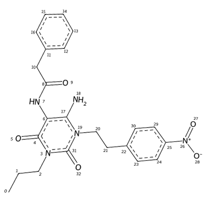 CCCn1c(=O)c(NC(=O)Cc2ccccc2)c(N)n(CCc2ccc([N+](=O)[O-])cc2)c1=O